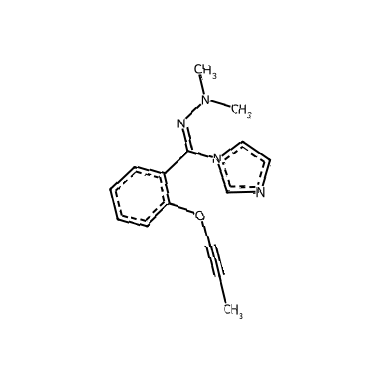 CC#COc1ccccc1C(=NN(C)C)n1ccnc1